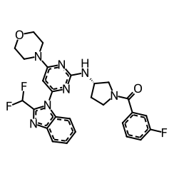 O=C(c1cccc(F)c1)N1CC[C@H](Nc2nc(N3CCOCC3)cc(-n3c(C(F)F)nc4ccccc43)n2)C1